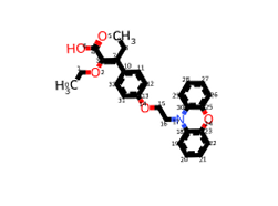 CCOC(C(=O)O)=C(CC)c1ccc(OCCN2c3ccccc3Oc3ccccc32)cc1